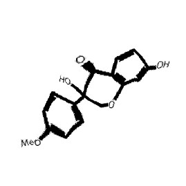 COc1ccc(C2(O)COc3cc(O)ccc3C2=O)cc1